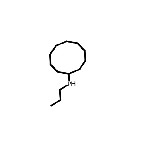 CCCPC1CCCCCCCCC1